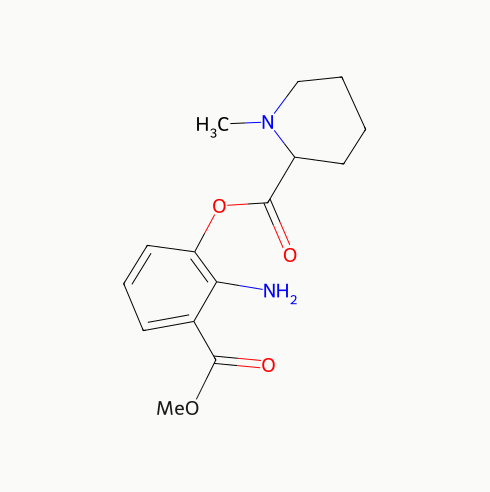 COC(=O)c1cccc(OC(=O)C2CCCCN2C)c1N